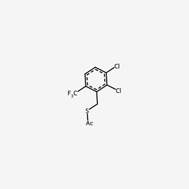 CC(=O)SCc1c(C(F)(F)F)ccc(Cl)c1Cl